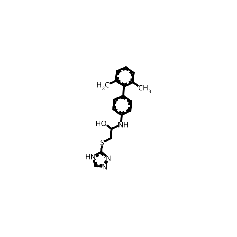 Cc1cccc(C)c1-c1ccc(NC(O)CSc2nnc[nH]2)cc1